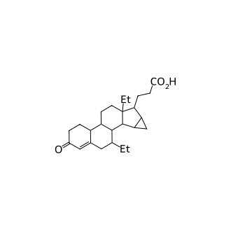 CCC1CC2=CC(=O)CCC2C2CCC3(CC)C(CCC(=O)O)C4CC4C3C12